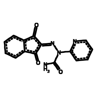 NC(=O)N(N=c1c(=O)c2ccccc2c1=O)c1ccccn1